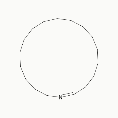 C1=NCCCCCCCCCCCCCCCC1